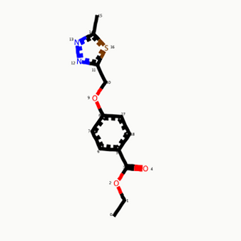 CCOC(=O)c1ccc(OCc2nnc(C)s2)cc1